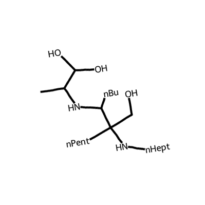 C[CH]CCCCCNC(CO)(CCCCC)C(CCCC)NC(C)C(O)O